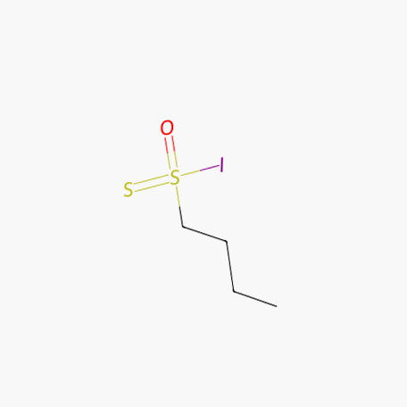 CCCCS(=O)(=S)I